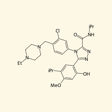 CCN1CCN(Cc2ccc(-n3c(C(=O)NC(C)C)nnc3-c3cc(C(C)C)c(OC)cc3O)cc2Cl)CC1